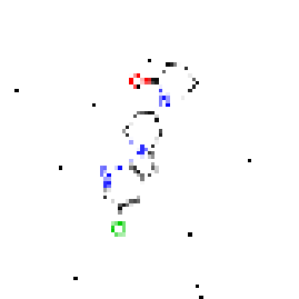 O=C1CCCCN1C1CCn2c(cc3cc(Cl)cnc32)C1